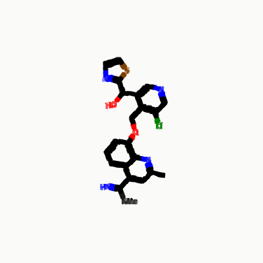 CNC(=N)c1cc(C)nc2c(OCc3c(Cl)cncc3C(O)c3nccs3)cccc12